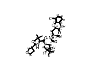 CC(C)(C)C(NC(=O)C1CCOC1)C(=O)N1C[C@H]2[C@@H]([C@H]1C(=O)N[C@H](C#N)CC1Oc3c(Cl)cccc3NC1=O)C2(C)C